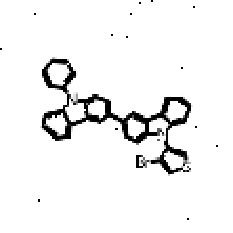 Brc1cscc1-n1c2ccccc2c2cc(-c3ccc4c(c3)c3ccccc3n4-c3ccccc3)ccc21